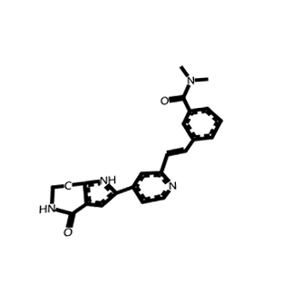 CN(C)C(=O)c1cccc(C=Cc2cc(-c3cc4c([nH]3)CCNC4=O)ccn2)c1